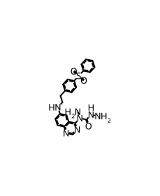 NNC(=O)N(N)c1ncnc2ccc(NCCc3ccc(S(=O)(=O)c4ccccc4)cc3)cc12